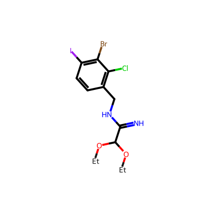 CCOC(OCC)C(=N)NCc1ccc(I)c(Br)c1Cl